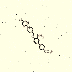 CCc1cnc(N2CCC(COc3ccc(C4=CCC(C(=O)O)CC4)cc3N)CC2)nc1